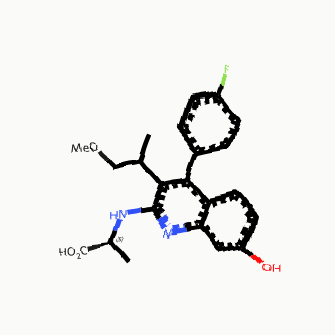 COCC(C)c1c(N[C@@H](C)C(=O)O)nc2cc(O)ccc2c1-c1ccc(F)cc1